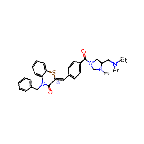 CCN(CC)CC1CN(C(=O)c2ccc(/C=C3\Sc4ccccc4N(Cc4ccccc4)C3=O)cc2)CN1CC